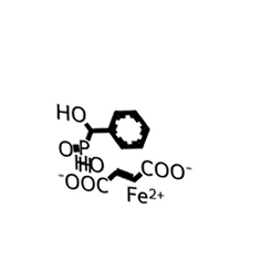 O=C([O-])/C=C/C(=O)[O-].O=[PH](O)C(O)c1ccccc1.[Fe+2]